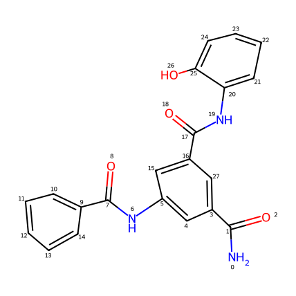 NC(=O)c1cc(NC(=O)c2ccccc2)cc(C(=O)Nc2ccccc2O)c1